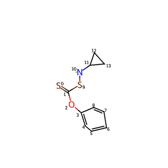 S=C(Oc1ccccc1)S[N]C1CC1